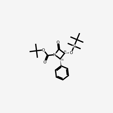 CC(C)(C)OC(=O)N1C(=O)[C@H](O[Si](C)(C)C(C)(C)C)[C@@H]1c1ccccc1